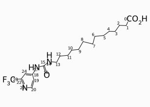 O=C(O)CCCCCCCCCCCCCNC(=O)Nc1ccnc(C(F)(F)F)c1